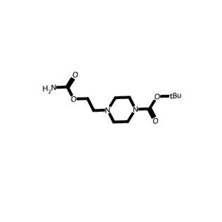 CC(C)(C)OC(=O)N1CCN(CCOC(N)=O)CC1